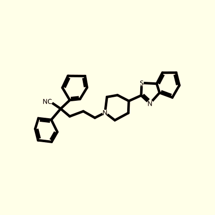 N#CC(CCCN1CCC(c2nc3ccccc3s2)CC1)(c1ccccc1)c1ccccc1